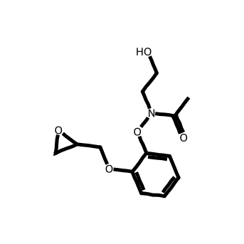 CC(=O)N(CCO)Oc1ccccc1OCC1CO1